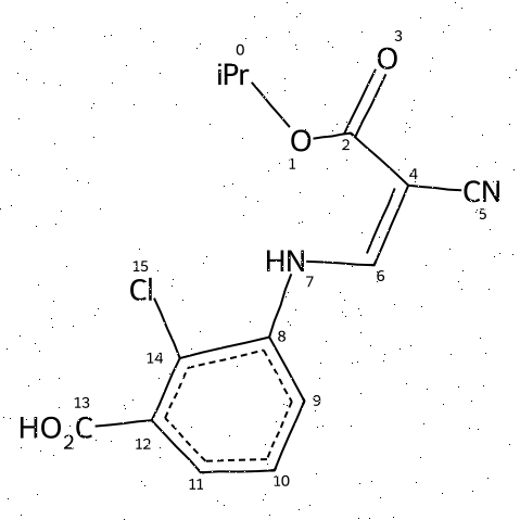 CC(C)OC(=O)C(C#N)=CNc1cccc(C(=O)O)c1Cl